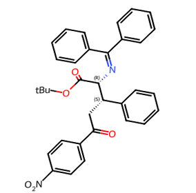 CC(C)(C)OC(=O)[C@H](N=C(c1ccccc1)c1ccccc1)[C@@H](CC(=O)c1ccc([N+](=O)[O-])cc1)c1ccccc1